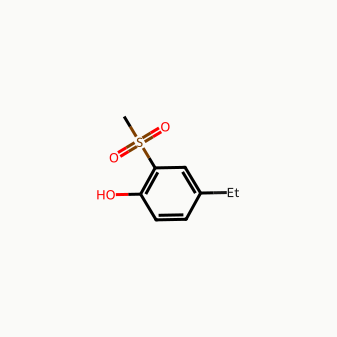 CCc1ccc(O)c(S(C)(=O)=O)c1